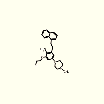 CN1CCN(c2cc(CCc3cccc4ccccc34)c(N)c(OCCCl)c2)CC1